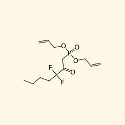 C=CCOP(=O)(CC(=O)C(F)(F)CCCC)OCC=C